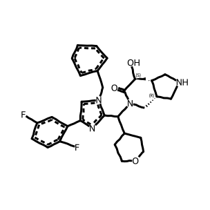 C[C@H](O)C(=O)N(C[C@@H]1[CH]CNC1)C(c1nc(-c2cc(F)ccc2F)cn1Cc1ccccc1)C1CCOCC1